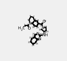 C=CC(=O)N1CCCc2cc(C(=O)N3CC[C@@H](Nc4ncc5ccccc5n4)C3)ccc21